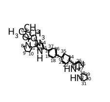 CC(C)(C)OC(=O)N1CCC[C@@H]1c1ncc(-c2ccc(-c3ccc(-c4cnc([C@@H]5CCCN5)[nH]4)cc3)cc2)[nH]1